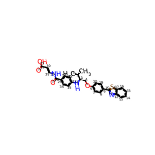 CC(C)[C@@H](COc1ccc(-c2nc3ccccc3s2)cc1)Nc1ccc(C(=O)NC=CC(=O)O)cc1